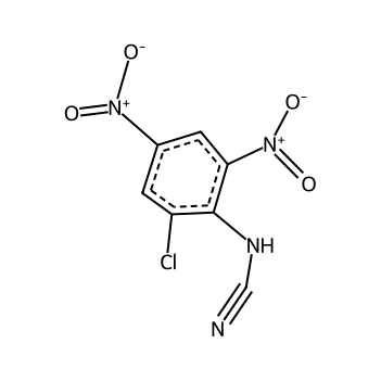 N#CNc1c(Cl)cc([N+](=O)[O-])cc1[N+](=O)[O-]